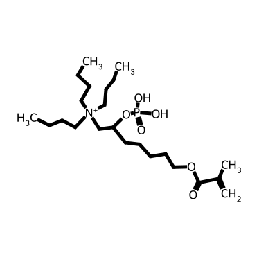 C=C(C)C(=O)OCCCCCC(C[N+](CCCC)(CCCC)CCCC)OP(=O)(O)O